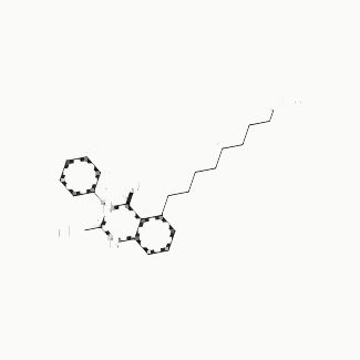 CCCCCCCCCCCCCCCCCCc1cccc2nc(CCC)n(-c3ccccc3)c(=O)c12